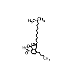 CCCCc1ccc(C(=O)O)c(C(=O)O)c1CCCCCCCCCCCC(C)C